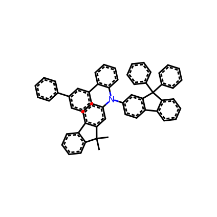 CC1(C)c2ccccc2-c2ccc(N(c3ccc4c(c3)C(c3ccccc3)(c3ccccc3)c3ccccc3-4)c3ccccc3-c3cccc(-c4ccccc4)c3)cc21